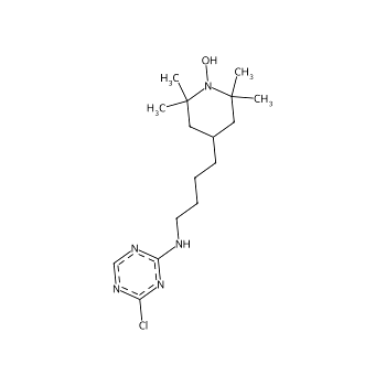 CC1(C)CC(CCCCNc2ncnc(Cl)n2)CC(C)(C)N1O